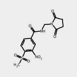 CS(=O)(=O)c1ccc(C(=O)NCN2C(=O)CCC2=O)cc1[N+](=O)[O-]